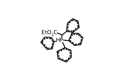 CCOC(=O)C(c1ccccc1)[PH](c1ccccc1)(c1ccccc1)c1ccccc1